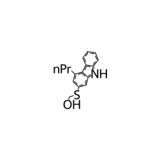 CCCc1cc(SCO)cc2[nH]c3ccccc3c12